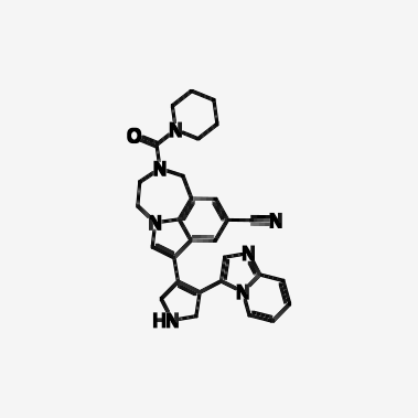 N#Cc1cc2c3c(c1)c(C1=C(c4cnc5ccccn45)CNC1)cn3CCN(C(=O)N1CCCCC1)C2